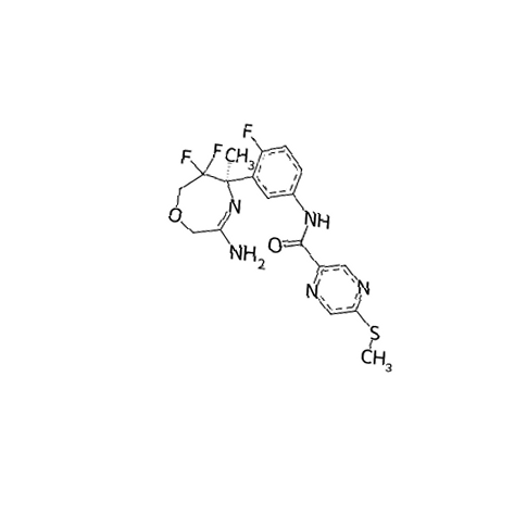 CSc1cnc(C(=O)Nc2ccc(F)c([C@@]3(C)N=C(N)COCC3(F)F)c2)cn1